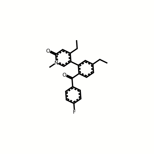 CCc1ccc(C(=O)c2ccc(F)cc2)c(-c2cn(C)c(=O)cc2CC)c1